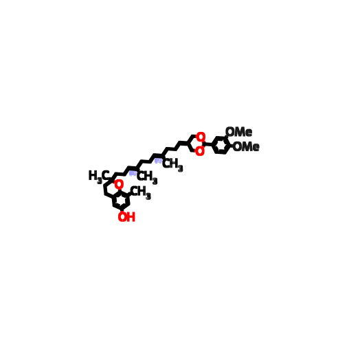 COc1ccc(C2OCC(=CCC/C(C)=C/CC/C(C)=C/CCC3(C)CCc4cc(O)cc(C)c4O3)CO2)cc1OC